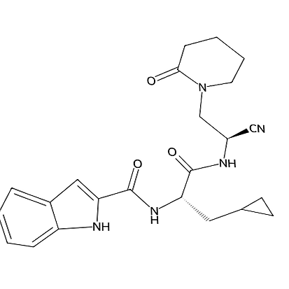 N#C[C@H](CN1CCCCC1=O)NC(=O)[C@H](CC1CC1)NC(=O)c1cc2ccccc2[nH]1